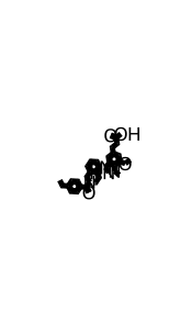 CCc1ccc(C(=O)N2CCc3c(cccc3N3NN(C)c4c(OC)cc(CCC(=O)O)cc43)C2)cc1